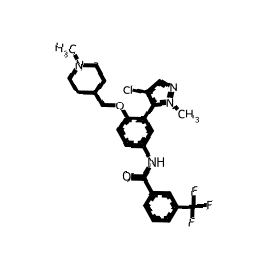 CN1CCC(COc2ccc(NC(=O)c3cccc(C(F)(F)F)c3)cc2-c2c(Cl)cnn2C)CC1